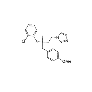 COc1ccc(CC(C)(CCn2ccnc2)Sc2ccccc2Cl)cc1